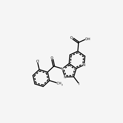 Cc1cccc(Cl)c1C(=O)n1nc(I)c2ncc(C(=O)O)cc21